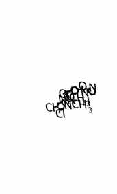 CC(C)c1nc2cc(Cl)c(Cl)cc2nc1S(=O)(=O)Cc1ccc(C(=O)Nc2cccnc2)cc1